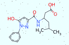 CC(C)CC(CC(=O)O)NC(=O)c1cc(O)n(-c2ccccc2)n1